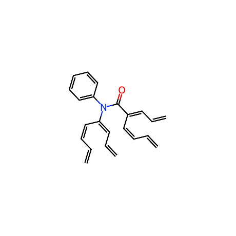 C=C/C=C\C(=C/C=C)C(=O)N(C(/C=C\C=C)=C/C=C)c1ccccc1